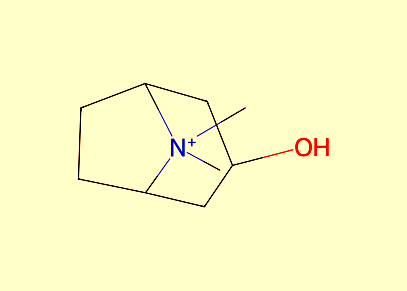 C[N+]1(C)C2CCC1CC(O)C2